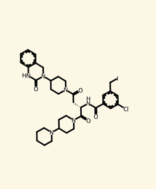 O=C(N[C@@H](CC(=O)N1CCC(N2Cc3ccccc3NC2=O)CC1)C(=O)N1CCC(N2CCCCC2)CC1)c1cc(Cl)cc(CI)c1